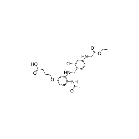 CCOC(=O)CNc1ccc(CNc2cc(OCCCC(=O)O)ccc2NC(C)=O)c(Cl)c1